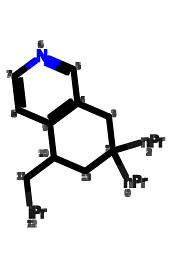 CCCC1(CCC)Cc2cnccc2C(CC(C)C)C1